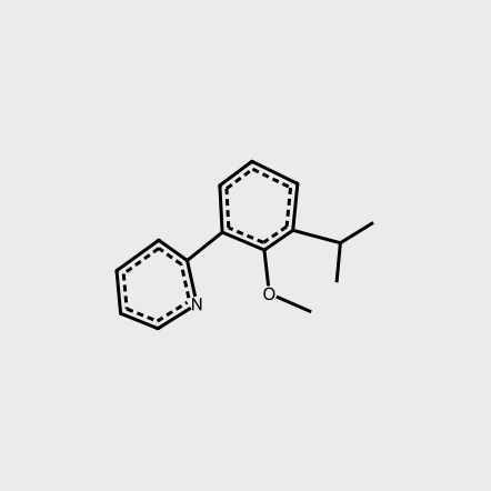 COc1c(-c2ccccn2)cccc1C(C)C